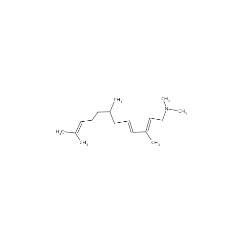 CC(C)=CCCC(C)CC=CC(C)=CCN(C)C